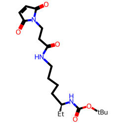 CC[C@@H](CCCCNC(=O)CCN1C(=O)C=CC1=O)NC(=O)OC(C)(C)C